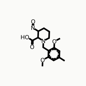 COc1cc(C)cc(OC)c1CN1CCCC(N=O)C1C(=O)O